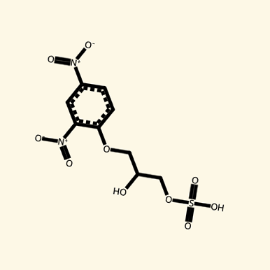 O=[N+]([O-])c1ccc(OCC(O)COS(=O)(=O)O)c([N+](=O)[O-])c1